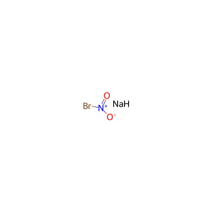 O=[N+]([O-])Br.[NaH]